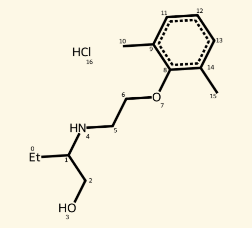 CCC(CO)NCCOc1c(C)cccc1C.Cl